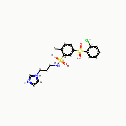 Cc1ccc(S(=O)(=O)c2ccccc2Cl)cc1S(=O)(=O)NCCCn1ccnc1